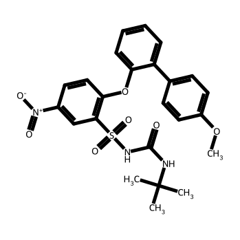 COc1ccc(-c2ccccc2Oc2ccc([N+](=O)[O-])cc2S(=O)(=O)NC(=O)NC(C)(C)C)cc1